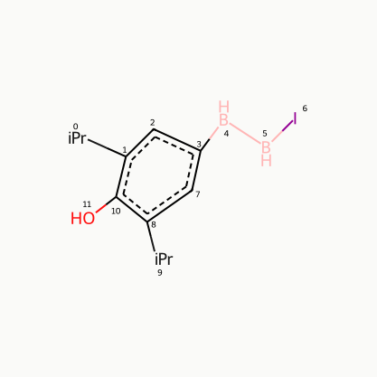 CC(C)c1cc(BBI)cc(C(C)C)c1O